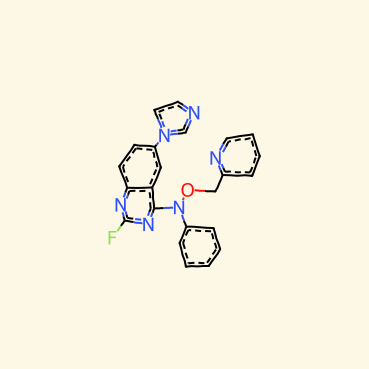 Fc1nc(N(OCc2ccccn2)c2ccccc2)c2cc(-n3ccnc3)ccc2n1